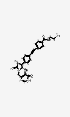 CC(C)N1C(=O)N(Cc2nc[nH]c(=O)c2O)CC1c1ccc(C#Cc2ccc(C(=O)NCCO)cc2)cc1